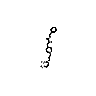 N/C=C\N(N)CCCN1CCC(CNC(=O)OCc2ccccc2)CC1